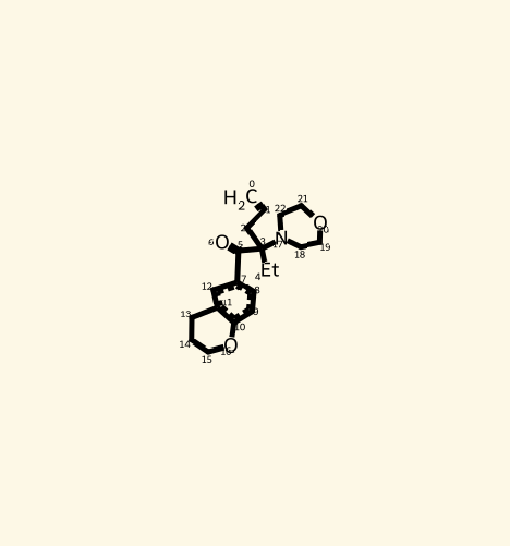 C=CCC(CC)(C(=O)c1ccc2c(c1)CCCO2)N1CCOCC1